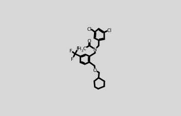 CC(=O)N(Cc1cc(Cl)cc(Cl)c1)Cc1cc(C(F)(F)F)ccc1COCC1CCCCC1